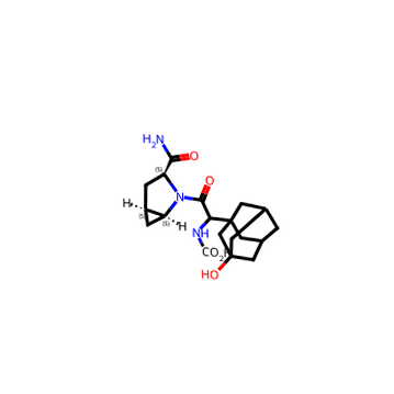 NC(=O)[C@@H]1C[C@@H]2C[C@@H]2N1C(=O)C(NC(=O)O)C12CC3CC(CC(O)(C3)C1)C2